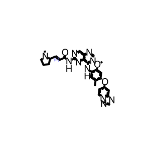 COc1cc(Oc2ccn3ncnc3c2)c(C)cc1Nc1ncnc2cnc(NC(=O)/C=C/C3CCCN3C)nc12